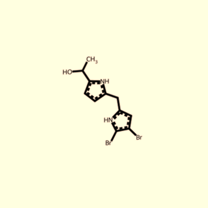 CC(O)c1ccc(Cc2cc(Br)c(Br)[nH]2)[nH]1